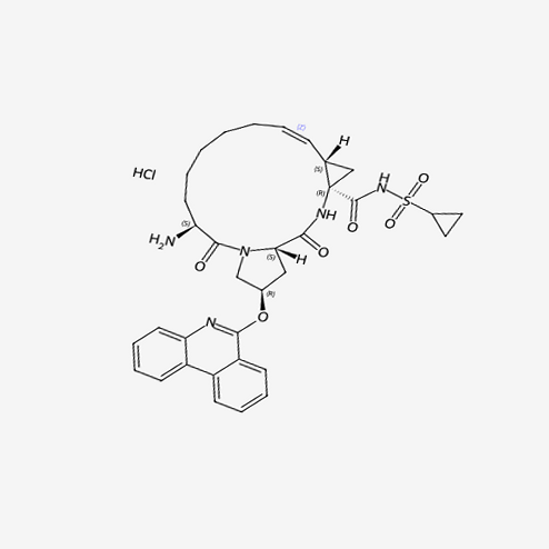 Cl.N[C@H]1CCCCC/C=C\[C@@H]2C[C@@]2(C(=O)NS(=O)(=O)C2CC2)NC(=O)[C@@H]2C[C@@H](Oc3nc4ccccc4c4ccccc34)CN2C1=O